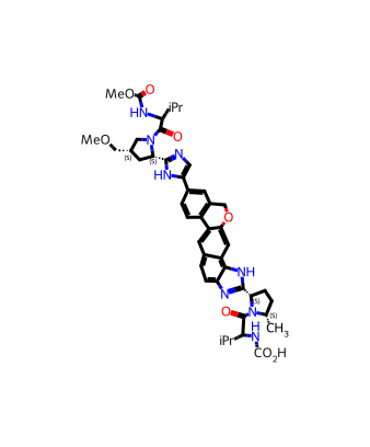 COC[C@H]1C[C@@H](c2ncc(-c3ccc4c(c3)COc3cc5c(ccc6nc([C@@H]7CC[C@H](C)N7C(=O)C(NC(=O)O)C(C)C)[nH]c65)cc3-4)[nH]2)N(C(=O)C(NC(=O)OC)C(C)C)C1